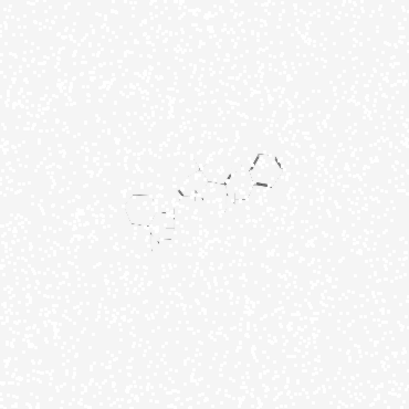 CN(Cc1ccccc1)C(=O)C(NC(=S)N[C@@H]1CCCC[C@H]1N(C)C)C(C)(C)C